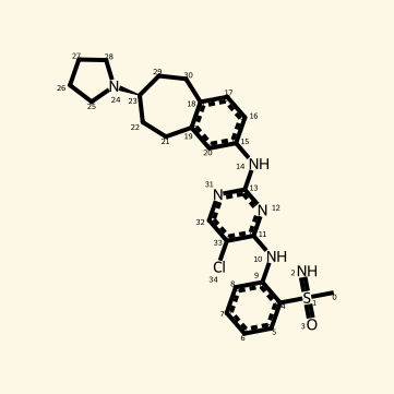 CS(=N)(=O)c1ccccc1Nc1nc(Nc2ccc3c(c2)CC[C@@H](N2CCCC2)CC3)ncc1Cl